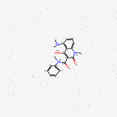 CN(C)c1cccc2c1c(O)c(C(=O)N(C)c1ccccc1)c(=O)n2C